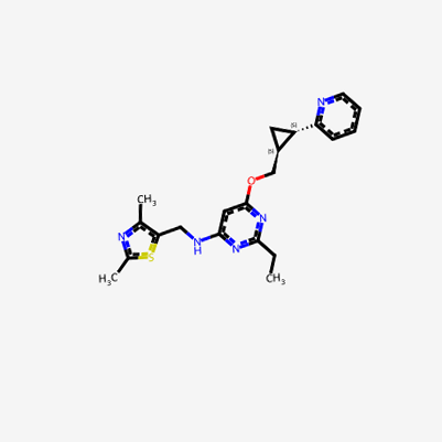 CCc1nc(NCc2sc(C)nc2C)cc(OC[C@H]2C[C@@H]2c2ccccn2)n1